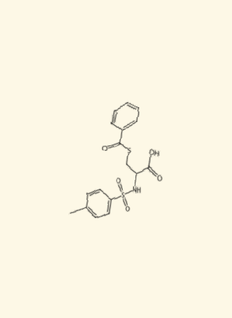 Cc1ccc(S(=O)(=O)NC(CSC(=O)c2ccccc2)C(=O)O)cc1